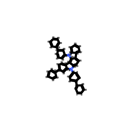 c1ccc(-c2ccc(-n3c4cc(-c5ccccc5)ccc4c4c3ccc3c5ccccc5n(-c5cccc(-c6ccccc6)c5)c34)cc2)cc1